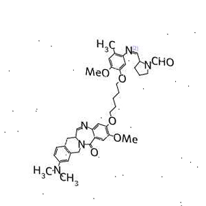 COc1cc2c(cc1OCCCCCOc1cc(/N=C\C3CCCN3C=O)c(C)cc1OC)N=CC1Cc3ccc(N(C)C)cc3CN1C2=O